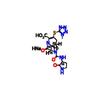 Cn1nnnc1SC1=C(C(=O)O)N2C(=O)[C@@H]3[C@H]2[C@H](C1)CN3C(=O)N[C@H]1CCNC1=O.[NaH]